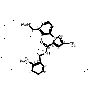 CNCc1cccc(-n2nc(C(F)(F)F)cc2C(=O)NCC2=C(OC)CCC=C2)c1